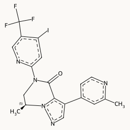 Cc1cc(-c2cnn3c2C(=O)N(c2cc(I)c(C(F)(F)F)cn2)C[C@@H]3C)ccn1